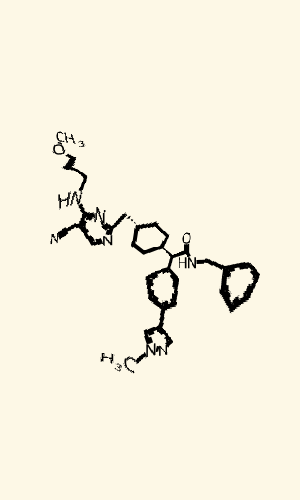 COCCCNc1nc(C[C@H]2CC[C@H](C(C(=O)NCc3ccccc3)c3ccc(-c4cnn(C)c4)cc3)CC2)ncc1C#N